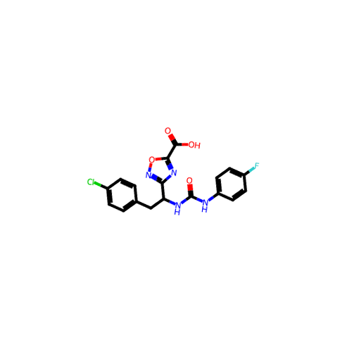 O=C(Nc1ccc(F)cc1)NC(Cc1ccc(Cl)cc1)c1noc(C(=O)O)n1